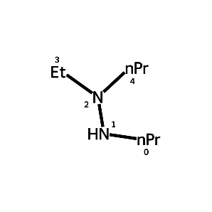 CCCNN(CC)CCC